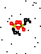 C=CS(=O)(=O)OS(=O)(=O)C=C